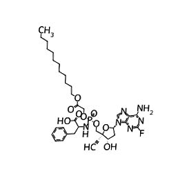 C#C[C@]1(COP(=O)(NC(Cc2ccccc2)C(=O)O)OCC(=O)OCCCCCCCCCCCC)O[C@@H](n2cnc3c(N)nc(F)nc32)C[C@@H]1O